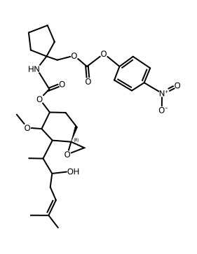 COC1C(OC(=O)NC2(COC(=O)Oc3ccc([N+](=O)[O-])cc3)CCCC2)CC[C@]2(CO2)C1C(C)C(O)CC=C(C)C